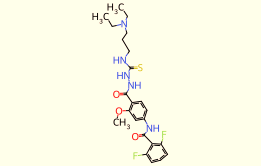 CCN(CC)CCCNC(=S)NNC(=O)c1ccc(NC(=O)c2c(F)cccc2F)cc1OC